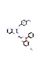 CCOc1ccc(C[C@@H](NC(=O)c2ccccc2)C(=O)N[C@@H](Cc2cccnc2)C(=O)NCC23CCC(CN)(CC2)CC3)cc1